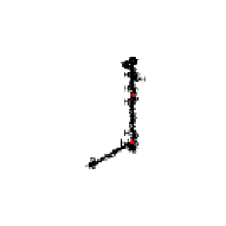 CC(C)(C)OC(=O)CCCCCCCCSCCCCCCCC(=O)NC(CCC(=O)NCCCOCCOCCOCCCNC(=O)COCC(=O)NCCCCC(NC(=O)OCC1c2ccccc2-c2ccccc21)C(=O)O)C(=O)OC(C)(C)C